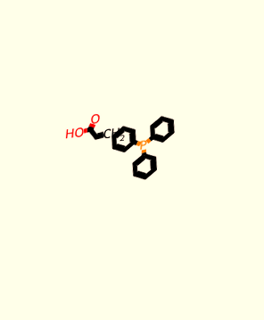 C=CC(=O)O.c1ccc(P(c2ccccc2)c2ccccc2)cc1